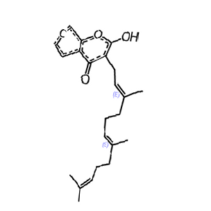 CC(C)=CCC/C(C)=C/CC/C(C)=C/Cc1c(O)oc2ccccc2c1=O